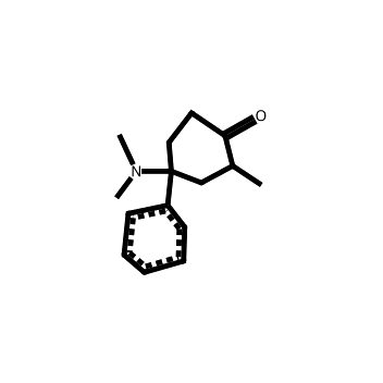 CC1CC(c2ccccc2)(N(C)C)CCC1=O